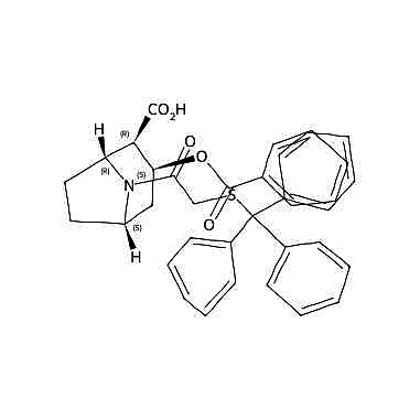 O=C(O[C@H]1C[C@@H]2CC[C@H]([C@H]1C(=O)O)N2C(=O)CSC(c1ccccc1)(c1ccccc1)c1ccccc1)c1ccccc1